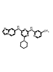 Cc1ccnc(Nc2nc(Nc3ccn4ccnc4c3)cc(N3CCCCC3)n2)c1